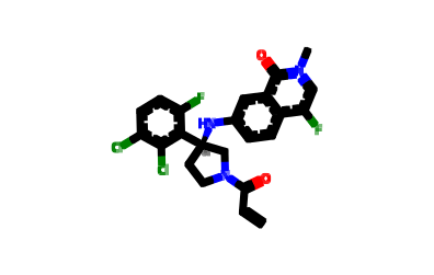 C=CC(=O)N1CC[C@](Nc2ccc3c(F)cn(C)c(=O)c3c2)(c2c(F)ccc(Cl)c2Cl)C1